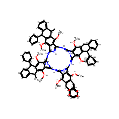 CCCCOc1c2c(c(OCCCC)c3c1C(C)c1ccccc1C3c1ccccc1)-c1nc-2nc2[nH]c(nc3nc(nc4[nH]c(n1)c1c(OCCCC)c5c(c(OCCCC)c41)C(C)c1ccccc1C5c1ccccc1)-c1c(OCCCC)c4c(c(OCCCC)c1-3)C1c3ccccc3C4c3ccccc31)c1c(OCCCC)c3c(c(OCCCC)c21)Cc1ccccc1C3c1ccccc1